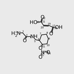 NCC(=O)NCC1CCCCC1O[N+](=O)[O-].O=C(O)C=CC(=O)O